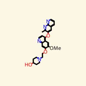 COc1cc2c(Oc3cc4cccnc4nc3C)ccnc2cc1OCCN1CCC(O)CC1